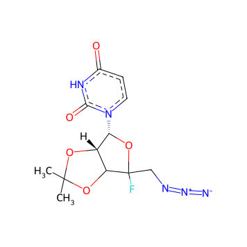 CC1(C)OC2[C@H](O1)[C@H](n1ccc(=O)[nH]c1=O)OC2(F)CN=[N+]=[N-]